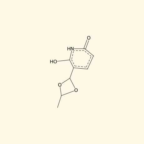 CC1OC(c2ccc(=O)[nH]c2O)O1